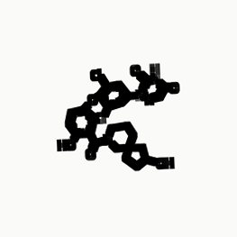 O=C(c1cc(Oc2c(Cl)cc(-n3ncc(=O)[nH]c3=O)cc2Cl)ccc1O)N1CCCC2(CCC(O)C2)C1